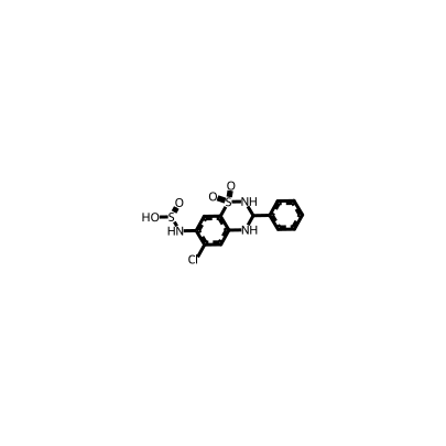 O=S(O)Nc1cc2c(cc1Cl)NC(c1ccccc1)NS2(=O)=O